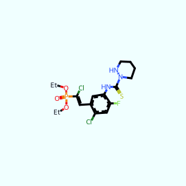 CCOP(=O)(OCC)C(Cl)=Cc1cc(NC(=S)N2CCCCN2)c(F)cc1Cl